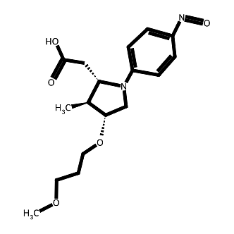 COCCCO[C@H]1CN(c2ccc(N=O)cc2)[C@@H](CC(=O)O)[C@@H]1C